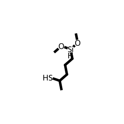 CO[SiH](CCCC(C)S)OC